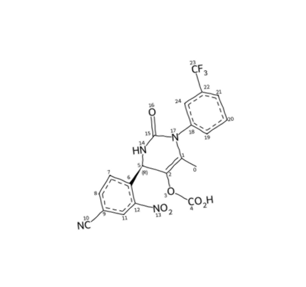 CC1=C(OC(=O)O)[C@@H](c2ccc(C#N)cc2[N+](=O)[O-])NC(=O)N1c1cccc(C(F)(F)F)c1